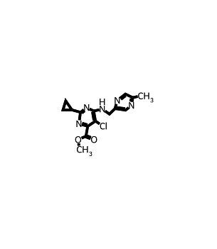 COC(=O)c1nc(C2CC2)nc(NCc2cnc(C)cn2)c1Cl